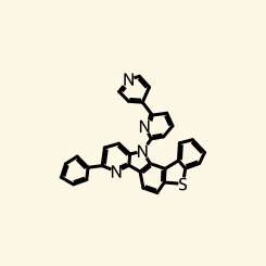 c1ccc(-c2ccc3c(n2)c2ccc4sc5ccccc5c4c2n3-c2cccc(-c3ccncc3)n2)cc1